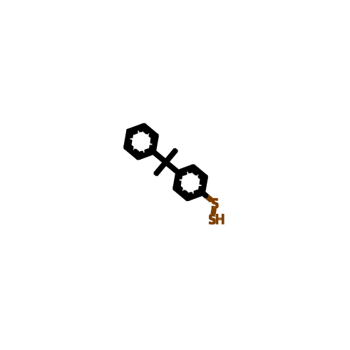 CC(C)(c1ccccc1)c1ccc(SS)cc1